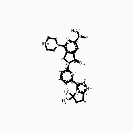 CC(C)N(C)c1cc2c(c(N3CCNCC3)n1)CN(c1cccc(-c3nnc4n3C(C)(C)CC4)n1)C2=O